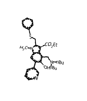 CCCCN(CCCC)Cc1c(O)c(-c2cccnc2)cc2c1c(C(=O)OCC)c(CSc1ccccc1)n2C